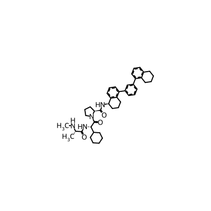 CN[C@@H](C)C(=O)N[C@H](C(=O)N1CCC[C@H]1C(=O)N[C@@H]1CCCc2c(-c3cccc(-c4cccc5c4CCCC5)c3)cccc21)C1CCCCC1